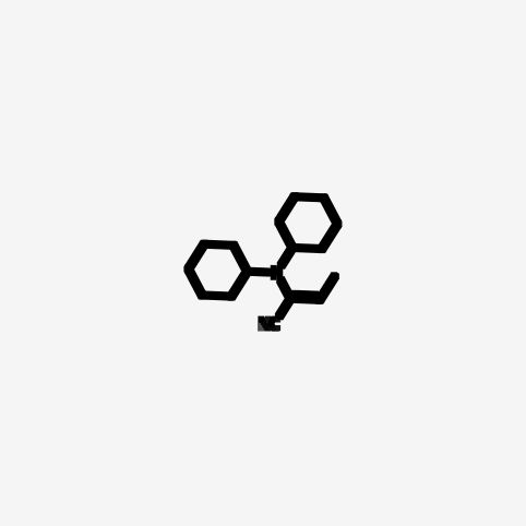 C/C=C(/C#N)N(C1CCCCC1)C1CCCCC1